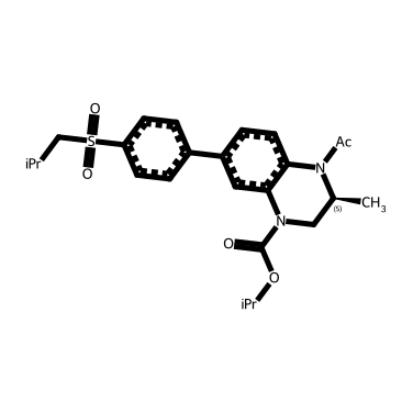 CC(=O)N1c2ccc(-c3ccc(S(=O)(=O)CC(C)C)cc3)cc2N(C(=O)OC(C)C)C[C@@H]1C